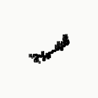 CCCN(CC)CCNC(=O)c1nnc(CCCCN/C=C(\N)C(=O)NCc2cccc(OC(F)(F)F)c2)s1